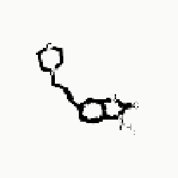 Cn1c(=O)oc2cc(C=CCN3CCOCC3)ccc21